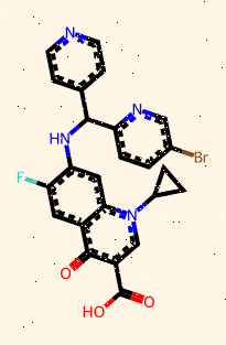 O=C(O)c1cn(C2CC2)c2cc(NC(c3ccncc3)c3ccc(Br)cn3)c(F)cc2c1=O